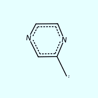 [CH]c1cnccn1